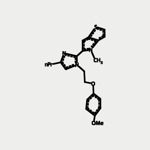 CCCc1cn(CCOc2ccc(OC)cc2)c(-c2cc3sccc3n2C)n1